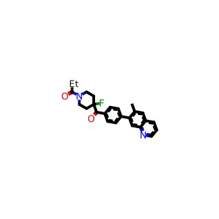 CCC(=O)N1CCC(F)(C(=O)c2ccc(-c3cc4ncccc4cc3C)cc2)CC1